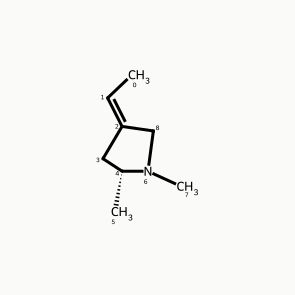 C/C=C1/C[C@@H](C)N(C)C1